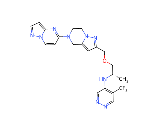 C[C@@H](COCc1cc2n(n1)CCN(c1ccn3nccc3n1)C2)Nc1cnncc1C(F)(F)F